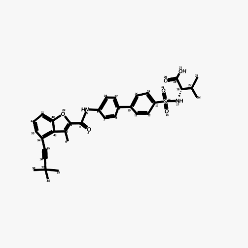 Cc1c(C(=O)Nc2ccc(-c3ccc(S(=O)(=O)N[C@H](C(=O)O)C(C)C)cc3)cc2)oc2cccc(C#CC(C)(C)C)c12